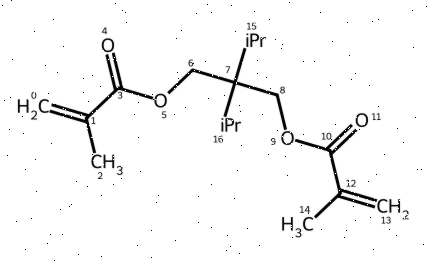 C=C(C)C(=O)OCC(COC(=O)C(=C)C)(C(C)C)C(C)C